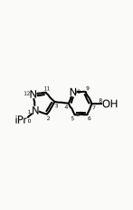 CC(C)n1cc(-c2ccc(O)cn2)cn1